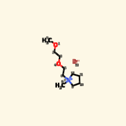 COCCOCC[N+]1(C)CCCC1.[Br-]